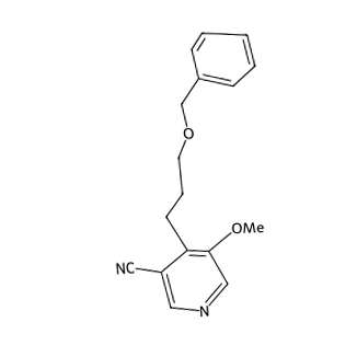 COc1cncc(C#N)c1CCCOCc1ccccc1